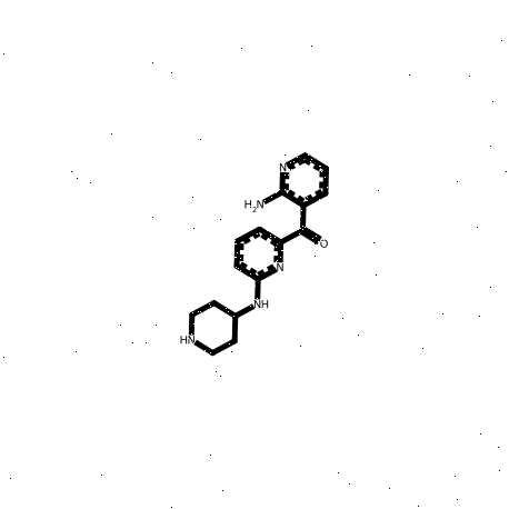 Nc1ncccc1C(=O)c1cccc(NC2CCNCC2)n1